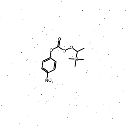 CC(OOC(=O)Oc1ccc([N+](=O)[O-])cc1)[Si](C)(C)C